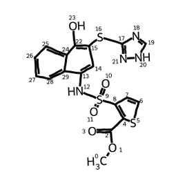 COC(=O)c1sccc1S(=O)(=O)Nc1cc(Sc2nc[nH]n2)c(O)c2ccccc12